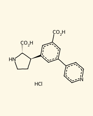 Cl.O=C(O)c1cc(-c2ccncc2)cc([C@H]2CCN[C@@H]2C(=O)O)c1